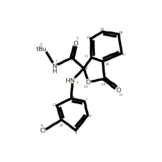 CC(C)(C)NC(=O)C1(Nc2cccc(Cl)c2)OC(=O)c2ccccc21